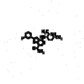 CC1CCC(Nc2ncc(C(N)=O)c3sc(-c4cccc(F)c4)cc23)C(C)N1